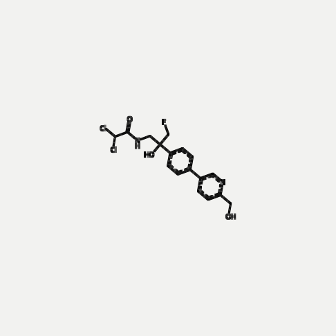 O=C(NCC(O)(CF)c1ccc(-c2ccc(CO)nc2)cc1)C(Cl)Cl